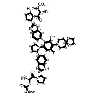 COC(=O)N[C@H](C(=O)N1CCC[C@H]1c1nc2cc([C@H]3CC[C@H](c4ccc5[nH]c([C@@H]6CCCN6C(=O)[C@H](C(C)C)N(C)C(=O)O)nc5c4)N3c3cc(F)c(N4CCC5(CC4)OCCO5)c(F)c3)ccc2[nH]1)C(C)C